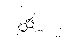 CC(=O)C1=CC23C=CC=CC2C(CC(C)C)C1C3